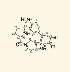 Nc1ccc(-c2cc(Cl)c(Cl)c3[nH]c4c(c23)CN(C(=O)[C@@H]2CCCN2)CC4)cn1